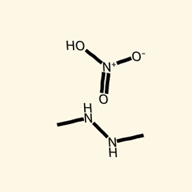 CNNC.O=[N+]([O-])O